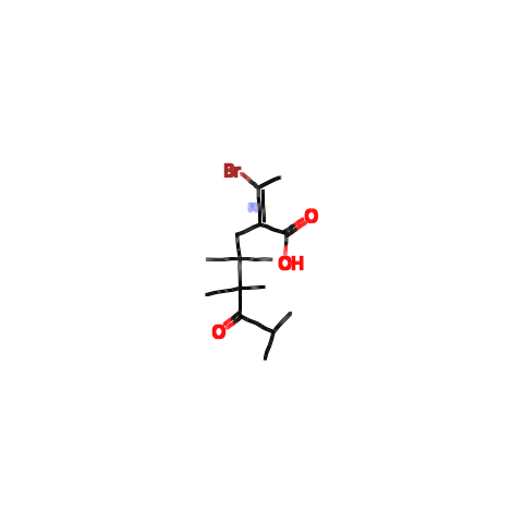 C/C(Br)=C(/CC(C)(C)C(C)(C)C(=O)C(C)C)C(=O)O